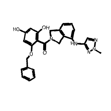 Cn1ncc(Nc2cccc3c2CN(C(=O)c2c(O)cc(O)cc2OCc2ccccc2)C3)n1